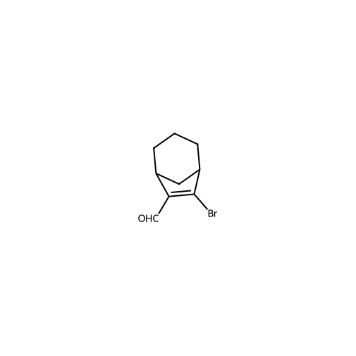 O=CC1=C(Br)C2CCCC1C2